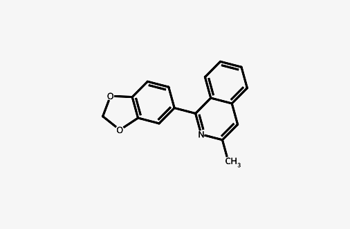 Cc1cc2ccccc2c(-c2ccc3c(c2)OCO3)n1